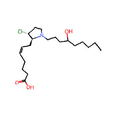 CCCCCC(O)CCCN1CC[C@@H](Cl)[C@@H]1C/C=C\CCCC(=O)O